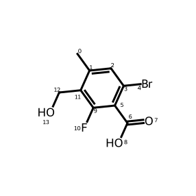 Cc1cc(Br)c(C(=O)O)c(F)c1CO